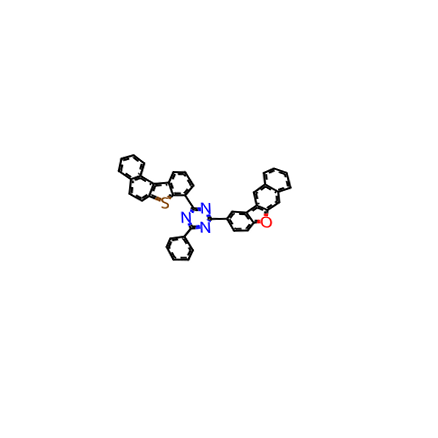 c1ccc(-c2nc(-c3ccc4oc5cc6ccccc6cc5c4c3)nc(-c3cccc4c3sc3ccc5ccccc5c34)n2)cc1